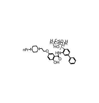 CCCN1CCN(CCOc2ccc(O)c(C(=O)Nc3cc(-c4ccccc4)ccc3C(=O)O)c2)CC1.CS(=O)(=O)O.CS(=O)(=O)O